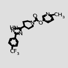 Cc1ccc(OC(=O)N2CCC(c3nc(-c4ccc(C(F)(F)F)cc4)n[nH]3)CC2)cn1